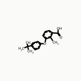 Cc1c(Oc2ccc(C(C)(C)C)cc2)cccc1C(=O)O